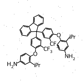 CC(C)c1cc(N)ccc1Oc1ccc(C2(c3ccc(Oc4ccc(N)cc4C(C)C)c(C(F)(F)F)c3)c3ccccc3-c3ccccc32)cc1C(F)(F)F